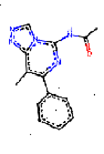 CC(=O)Nc1nc(-c2ccccc2)c(C)c2nncn12